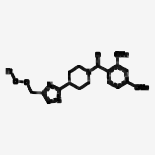 CCOOCc1csc(C2CCN(C(=O)c3ccc(OC)cc3OC)CC2)n1